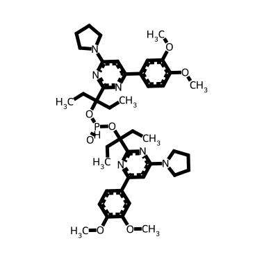 CCC(CC)(O[PH](=O)OC(CC)(CC)c1nc(-c2ccc(OC)c(OC)c2)cc(N2CCCC2)n1)c1nc(-c2ccc(OC)c(OC)c2)cc(N2CCCC2)n1